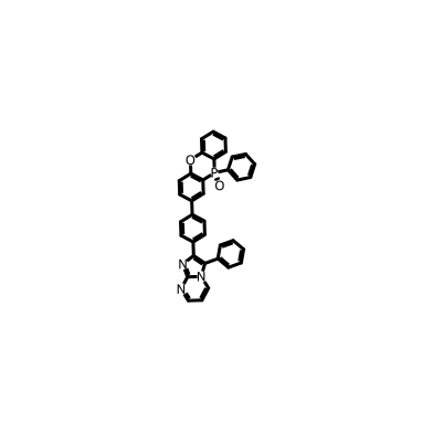 O=P1(c2ccccc2)c2ccccc2Oc2ccc(-c3ccc(-c4nc5ncccn5c4-c4ccccc4)cc3)cc21